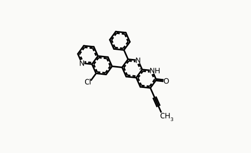 CC#Cc1cc2cc(-c3cc(Cl)c4ncccc4c3)c(-c3ccccc3)nc2[nH]c1=O